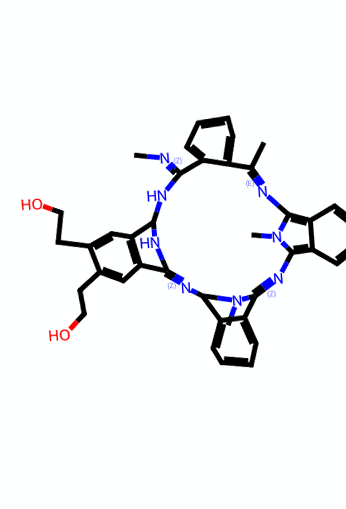 C/N=C1\NC2N/C(=N\C3c4ccccc4/C(=N/c4c5ccccc5c(n4C)/N=C(\C)c4ccccc41)N3C)c1cc(CCO)c(CCO)cc12